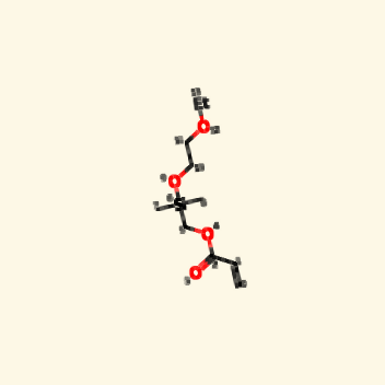 C=CC(=O)OC[Si](C)(C)OCCOCC